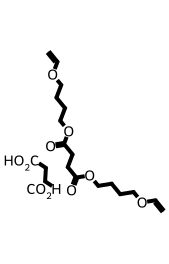 C=COCCCCOC(=O)CCC(=O)OCCCCOC=C.O=C(O)CCC(=O)O